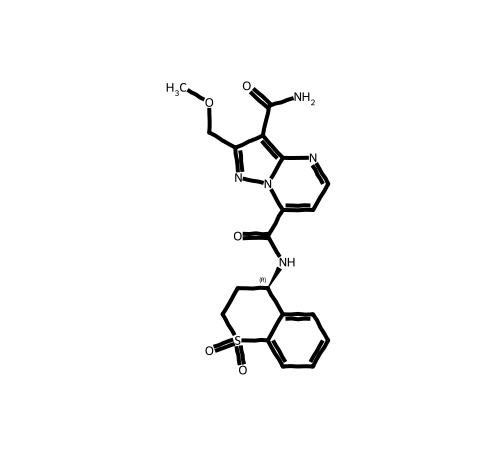 COCc1nn2c(C(=O)N[C@@H]3CCS(=O)(=O)c4ccccc43)ccnc2c1C(N)=O